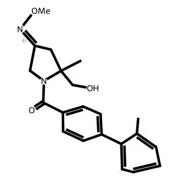 CO/N=C1/CN(C(=O)c2ccc(-c3ccccc3C)cc2)C(C)(CO)C1